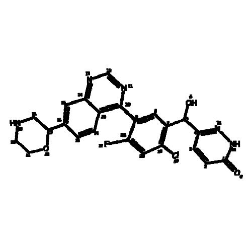 O=c1ccc(C(O)c2cc(-c3ncnc4cc(C5CNCCO5)ccc34)c(F)cc2Cl)n[nH]1